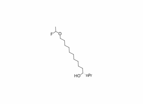 CCC[C@H](O)CCCCCCCCCCOC(C)F